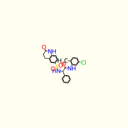 Cc1ccc(Cl)cc1NC(=O)C(NS(=O)(=O)c1ccc2c(c1)CCC(=O)N2)c1ccccc1